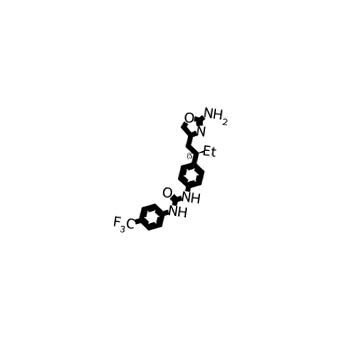 CC[C@@H](CC1COC(N)=N1)c1ccc(NC(=O)Nc2ccc(C(F)(F)F)cc2)cc1